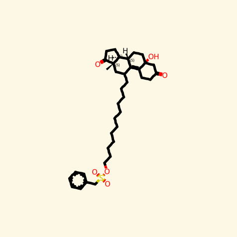 C[C@]12CC(CCCCCCCCCCCCOS(=O)(=O)Cc3ccccc3)C3=C4CCC(=O)CC4(O)CC[C@H]3[C@@H]1CCC2=O